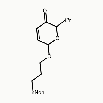 CCCCCCCCCCCCOC1C=CC(=O)C(C(C)C)O1